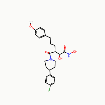 CCOc1ccc(CCC[C@@H](C(=O)N2CCC(c3ccc(F)cc3)CC2)[C@H](O)C(=O)NO)cc1